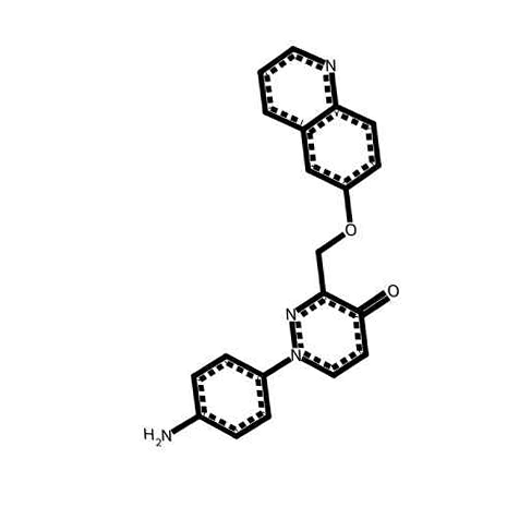 Nc1ccc(-n2ccc(=O)c(COc3ccc4ncccc4c3)n2)cc1